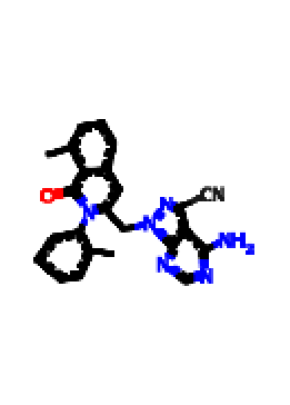 Cc1ccccc1-n1c(Cn2nc(C#N)c3c(N)ncnc32)cc2cccc(C)c2c1=O